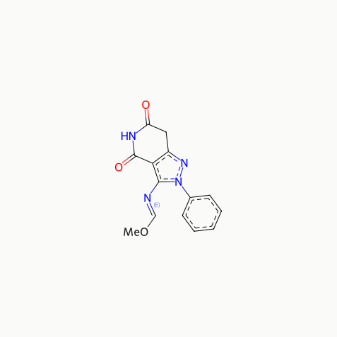 CO/C=N/c1c2c(nn1-c1ccccc1)CC(=O)NC2=O